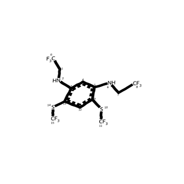 FC(F)(F)CNc1cc(NCC(F)(F)F)c(SC(F)(F)F)cc1SC(F)(F)F